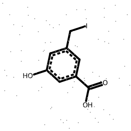 O=C(O)c1cc(O)cc(CI)c1